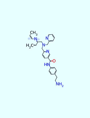 C=C/C(CN(Cc1ccccn1)Cc1ccc(C(=O)Nc2ccc(CCN)cc2)cn1)=N\C=C/C